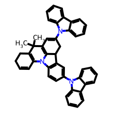 CC1(C)C2=C3C(CC(n4c5ccccc5c5ccccc54)=C2)c2cc(-n4c5ccccc5c5ccccc54)ccc2N3C2=C1CCC=C2